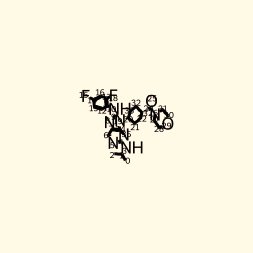 CC(C)Nc1ncc2nc(Nc3ccc(F)cc3F)n([C@H]3CC[C@@H](C(=O)N4CCOCC4)CC3)c2n1